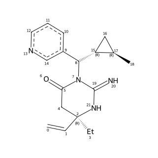 C=C[C@@]1(CC)CC(=O)N(C(c2cccnc2)[C@@H]2C[C@H]2C)C(=N)N1